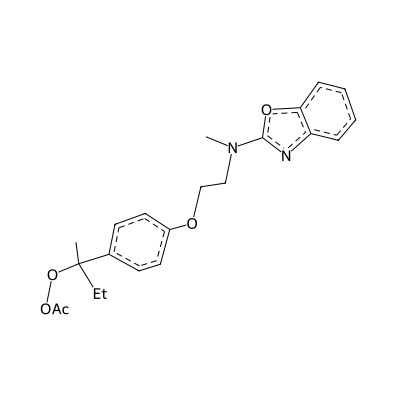 CCC(C)(OOC(C)=O)c1ccc(OCCN(C)c2nc3ccccc3o2)cc1